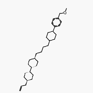 C=CC[C@H]1CC[C@H]([C@H]2CC[C@H](CCCCC3CCC(c4ccc(COC)cc4)CC3)CC2)CC1